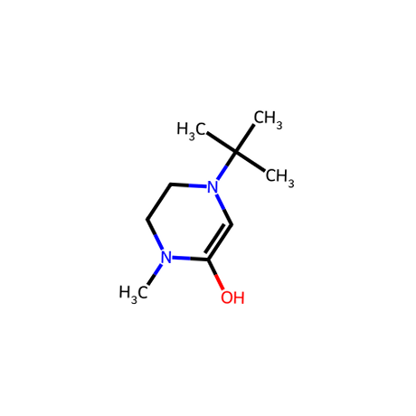 CN1CCN(C(C)(C)C)C=C1O